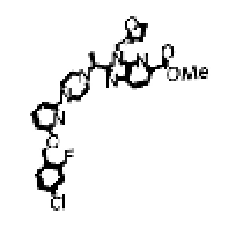 COC(=O)c1ccc2nc(C(C)N3CCN(c4cccc(OCc5ccc(Cl)cc5F)n4)CC3)n(C[C@@H]3CCO3)c2n1